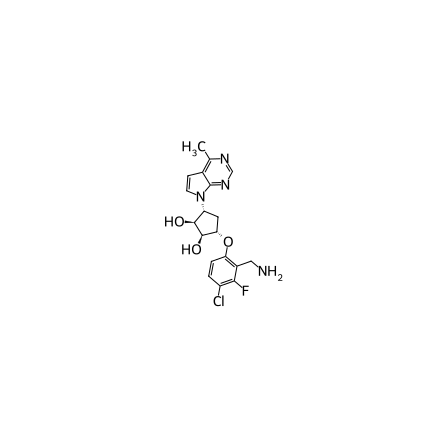 Cc1ncnc2c1ccn2[C@@H]1C[C@H](Oc2ccc(Cl)c(F)c2CN)[C@@H](O)[C@H]1O